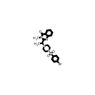 CC(c1nc2ccccc2c(=O)n1C)N1CCN(S(=O)(=O)c2ccc(Br)cc2)CC1